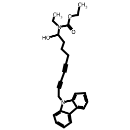 CCOC(=O)N(CC)C(O)CCCC#CC#CCn1c2ccccc2c2ccccc21